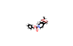 C=C1CCN(C(=O)OCc2ccccc2)CC1(C)C(=O)OCC